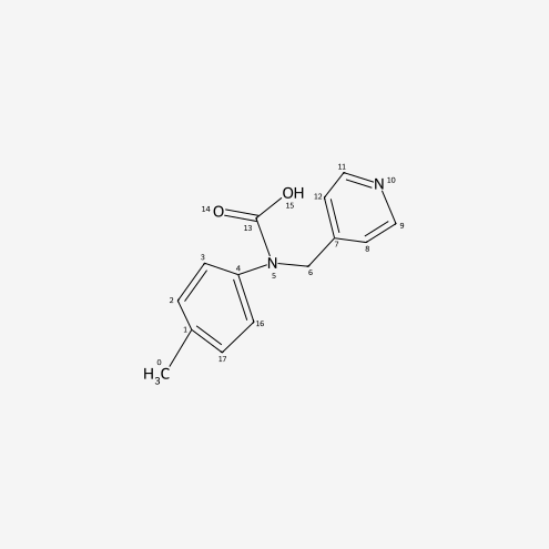 Cc1ccc(N(Cc2ccncc2)C(=O)O)cc1